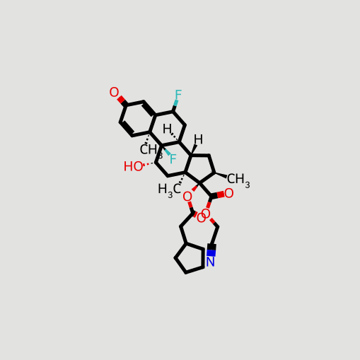 C[C@@H]1C[C@H]2[C@@H]3CC(F)C4=CC(=O)C=C[C@]4(C)[C@@]3(F)[C@@H](O)C[C@]2(C)[C@@]1(OC(=O)CC1CCCC1)C(=O)OCC#N